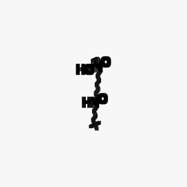 CC(C)(C)CCCCNC(=O)CCCCCCN1C(=O)C=CC1O